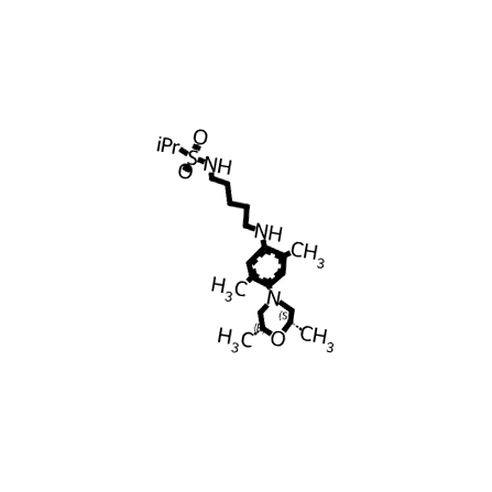 Cc1cc(N2C[C@@H](C)O[C@@H](C)C2)c(C)cc1NCCCCCNS(=O)(=O)C(C)C